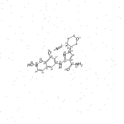 N#C[C@@H]1CCOC[C@H]1n1cc(C(N)=O)c(Nc2cc(Cl)c3c(c2)C=CB(O)O3)n1